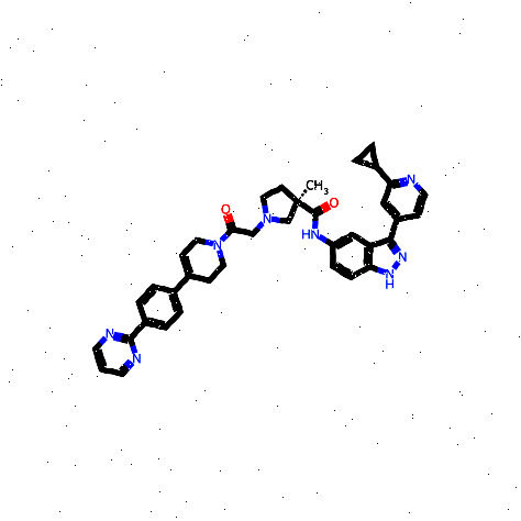 C[C@@]1(C(=O)Nc2ccc3[nH]nc(-c4ccnc(C5CC5)c4)c3c2)CCN(CC(=O)N2CC=C(c3ccc(-c4ncccn4)cc3)CC2)C1